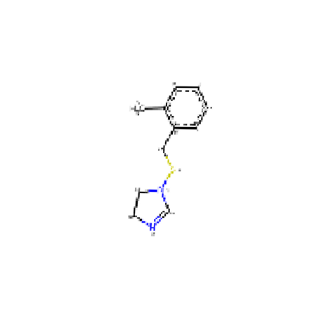 Cc1ccccc1CSN1C=NCC1